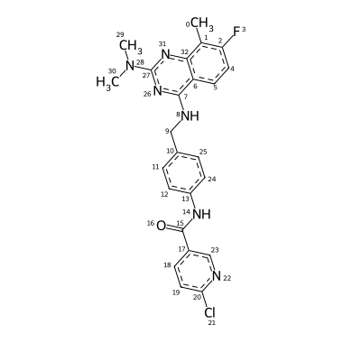 Cc1c(F)ccc2c(NCc3ccc(NC(=O)c4ccc(Cl)nc4)cc3)nc(N(C)C)nc12